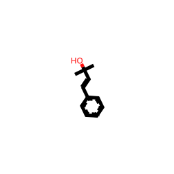 CC(C)(O)/C=C/c1cc[c]cc1